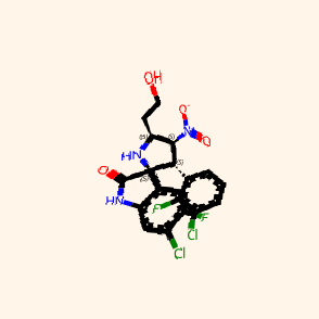 O=C1Nc2cc(Cl)c(F)cc2[C@]12N[C@@H](CCO)[C@@H]([N+](=O)[O-])[C@@H]2c1cccc(Cl)c1F